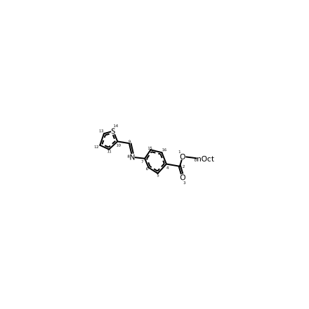 CCCCCCCCOC(=O)c1ccc(N=Cc2cccs2)cc1